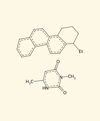 CCC1CCCc2c1ccc1c2ccc2ccccc21.Cc1cc(=O)n(C)c(=O)[nH]1